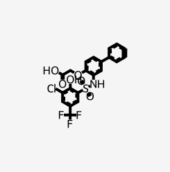 O=C(O)COc1ccc(-c2cc#ccc2)cc1NS(=O)(=O)c1cc(C(F)(F)F)cc(Cl)c1O